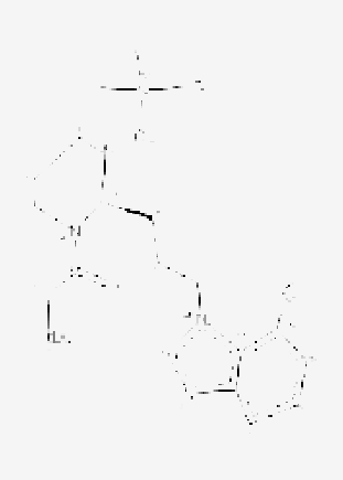 CC(C)(C)OC(=O)N1CCC[C@H](O[Si](C)(C)C(C)(C)C)[C@H]1CCCn1cnc2cccc(Br)c21